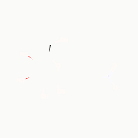 O=[N+]([O-])c1ccc([C@]2(O)O[C@H](CO)[C@H](O)[C@H](O)[C@H]2O)cc1